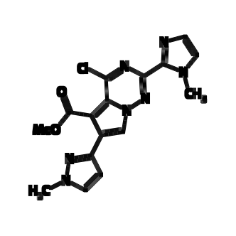 COC(=O)c1c(-c2ccn(C)n2)cn2nc(-c3nccn3C)nc(Cl)c12